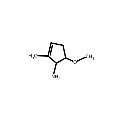 COC1CC=C(C)C1N